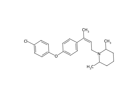 CC(=CCN1C(C)CCCC1C)c1ccc(Oc2ccc(Cl)cc2)cc1